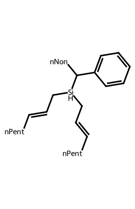 CCCCCC=CC[SiH](CC=CCCCCC)C(CCCCCCCCC)c1ccccc1